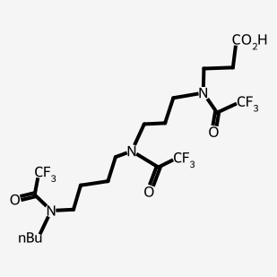 CCCCN(CCCCN(CCCN(CCC(=O)O)C(=O)C(F)(F)F)C(=O)C(F)(F)F)C(=O)C(F)(F)F